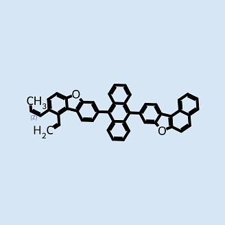 C=Cc1c(/C=C\C)ccc2oc3cc(-c4c5ccccc5c(-c5ccc6c(c5)oc5ccc7ccccc7c56)c5ccccc45)ccc3c12